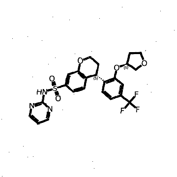 O=S(=O)(Nc1ncccn1)c1ccc2c(c1)OCC[C@@H]2c1ccc(C(F)(F)F)cc1O[C@H]1CCOC1